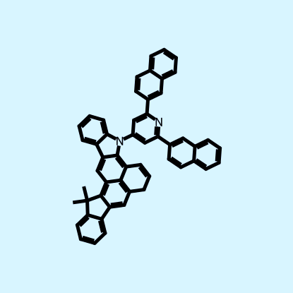 CC1(C)c2ccccc2-c2cc3c4c(c5c(cc4c21)c1ccccc1n5-c1cc(-c2ccc4ccccc4c2)nc(-c2ccc4ccccc4c2)c1)C=CC3